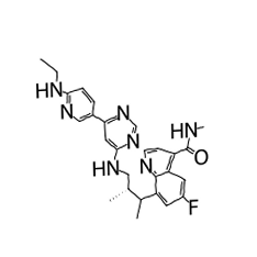 CCNc1ccc(-c2cc(NC[C@@H](C)C(C)c3cc(F)cc4c(C(=O)NC)ccnc34)ncn2)cn1